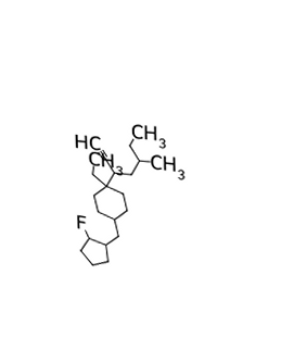 C#CC(CC(C)CC)C1(CC)CCC(CC2CCCC2F)CC1